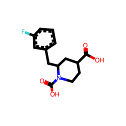 O=C(O)C1CCN(C(=O)O)C(Cc2cccc(F)c2)C1